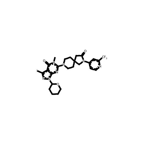 Cn1c(N2CCC3(CC2)CC(=O)N(c2ccnc(C(F)(F)F)c2)C3)nc2c(c(I)nn2C2CCCCO2)c1=O